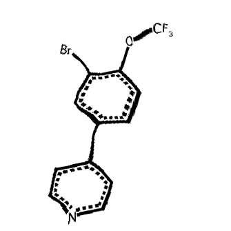 FC(F)(F)Oc1ccc(-c2ccncc2)cc1Br